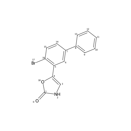 O=c1[nH]cc(-c2cc(-c3ccccc3)ccc2Br)o1